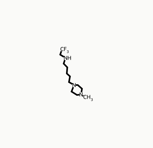 CN1CCN(CCCCCNCC(F)(F)F)CC1